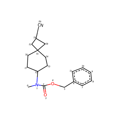 CN(C(=O)OCc1ccccc1)C1CCC2(CC1)CC(C#N)C2